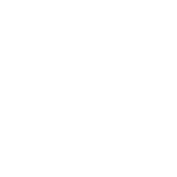 Oc1ccccc1SCc1ccc(Cl)cc1